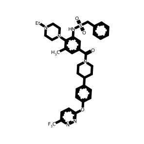 CCN1CCN(c2c(C)cc(C(=O)N3CCC(c4ccc(Oc5ccc(C(F)(F)F)nn5)cc4)CC3)cc2NS(=O)(=O)Cc2ccccc2)CC1